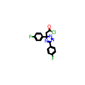 O=C(Cl)CC1(c2ccc(F)cc2)N=NC(c2ccc(F)cc2)=N1